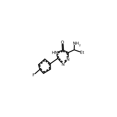 CCC(N)c1nnc(-c2ccc(F)cc2)[nH]c1=O